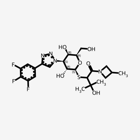 CC1CN(C(=O)C(S[C@@H]2O[C@H](CO)[C@H](O)[C@H](n3cc(-c4cc(F)c(F)c(F)c4)nn3)[C@H]2O)C(C)(C)O)C1